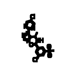 C[C@@H](NC(=O)c1cc(Cl)cc(S(C)(=O)=O)c1)c1ncnn1-c1ncc(Cl)cn1